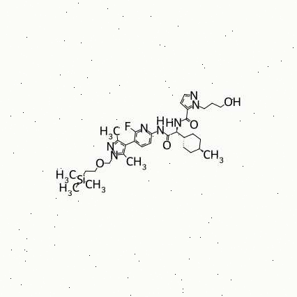 Cc1nn(COCC[Si](C)(C)C)c(C)c1-c1ccc(NC(=O)[C@@H](NC(=O)c2ccnn2CCCO)[C@H]2CC[C@H](C)CC2)nc1F